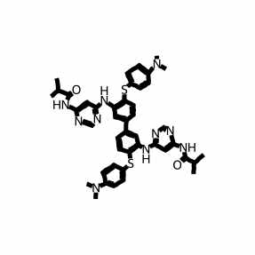 CC(C)C(=O)Nc1cc(Nc2cc(-c3ccc(Sc4ccc(N(C)C)cc4)c(Nc4cc(NC(=O)C(C)C)ncn4)c3)ccc2Sc2ccc(N(C)C)cc2)ncn1